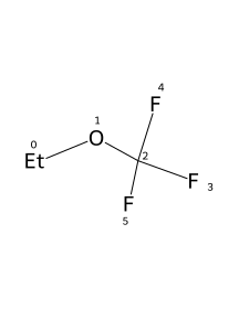 CCOC(F)(F)F